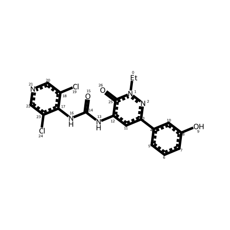 CCn1nc(-c2cccc(O)c2)cc(NC(=O)Nc2c(Cl)cncc2Cl)c1=O